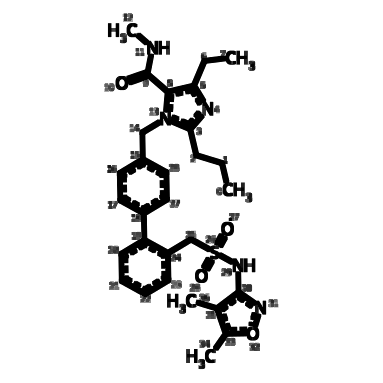 CCCc1nc(CC)c(C(=O)NC)n1Cc1ccc(-c2ccccc2CS(=O)(=O)Nc2noc(C)c2C)cc1